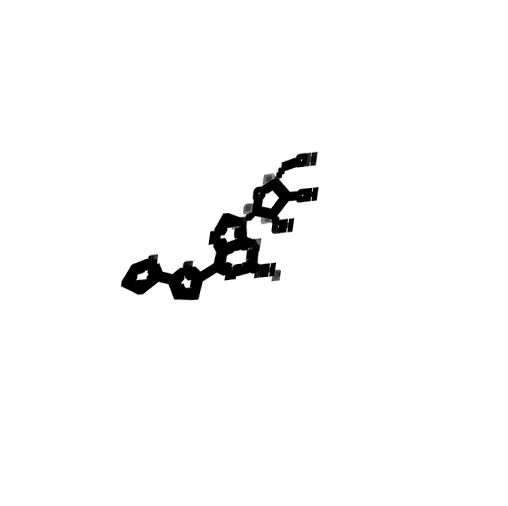 Nc1nc(-c2ccc(-c3cccs3)s2)c2ncn([C@@H]3O[C@H](CO)C(O)[C@@H]3O)c2n1